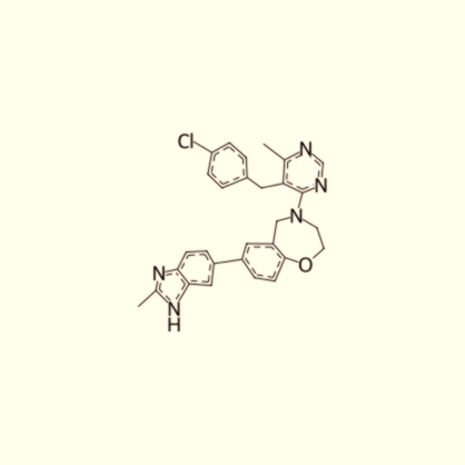 Cc1nc2ccc(-c3ccc4c(c3)CN(c3ncnc(C)c3Cc3ccc(Cl)cc3)CCO4)cc2[nH]1